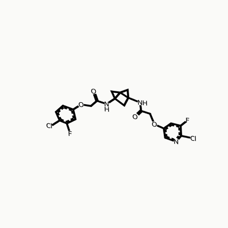 O=C(COc1ccc(Cl)c(F)c1)NC12CC3(NC(=O)COc4cnc(Cl)c(F)c4)CC13C2